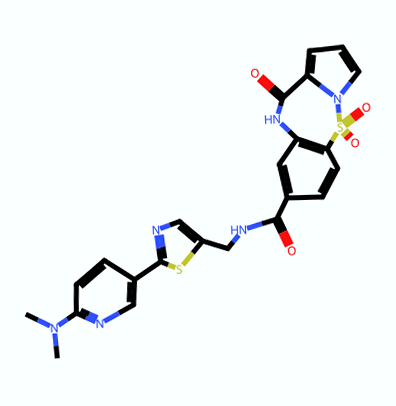 CN(C)c1ccc(-c2ncc(CNC(=O)c3ccc4c(c3)NC(=O)c3cccn3S4(=O)=O)s2)cn1